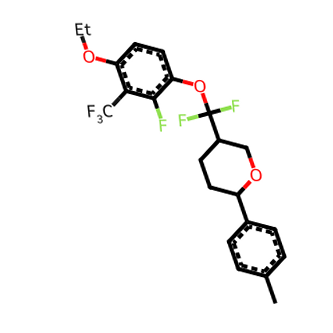 CCOc1ccc(OC(F)(F)C2CCC(c3ccc(C)cc3)OC2)c(F)c1C(F)(F)F